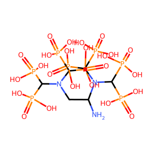 NC(CN(C(P(=O)(O)O)P(=O)(O)O)C(P(=O)(O)O)P(=O)(O)O)N(C(P(=O)(O)O)P(=O)(O)O)C(P(=O)(O)O)P(=O)(O)O